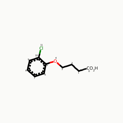 O=C(O)CCCOc1ccccc1Cl